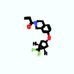 C=CC(=O)N1CCc2ccc(O[C@@H]3C[C@@H]4[C@H](C3)C4(F)F)cc2C1